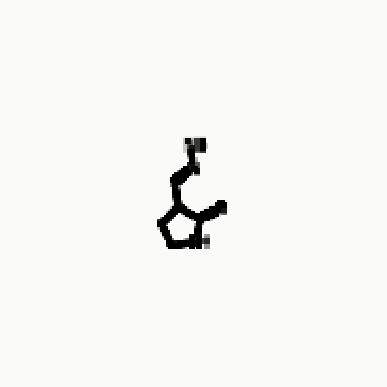 [NH]/N=C/C1CCNC1=O